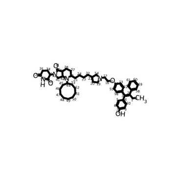 CC/C(=C(\c1ccc(O)cc1)c1ccc(OCCN2CCC(CCCCC3CCC4C(=O)N(C5CCC(=O)NC5=O)CC4N3C3CCCCCCCCC3)C2)cc1)c1ccccc1